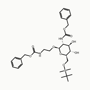 CC(C)(C)[Si](C)(C)OC[C@H]1O[C@@H](OCCNC(=O)OCc2ccccc2)[C@H](NC(=O)OCc2ccccc2)[C@@H](O)[C@@H]1O